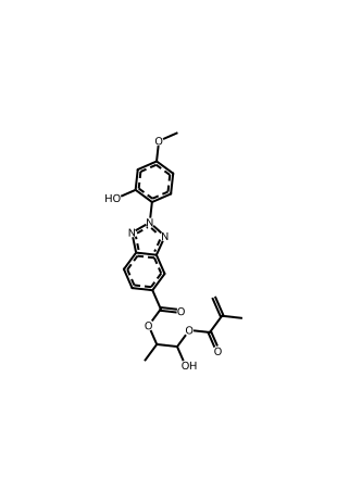 C=C(C)C(=O)OC(O)C(C)OC(=O)c1ccc2nn(-c3ccc(OC)cc3O)nc2c1